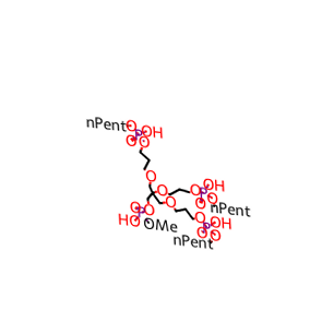 CCCCCOP(=O)(O)OCCCOCC(COCCCOP(=O)(O)OCCCCC)(COP(=O)(O)OC)OCCCOP(=O)(O)OCCCCC